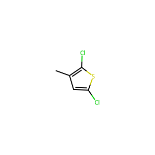 Cc1cc(Cl)sc1Cl